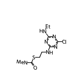 CCNc1nc(Cl)nc(NCCSC(=O)NC)n1